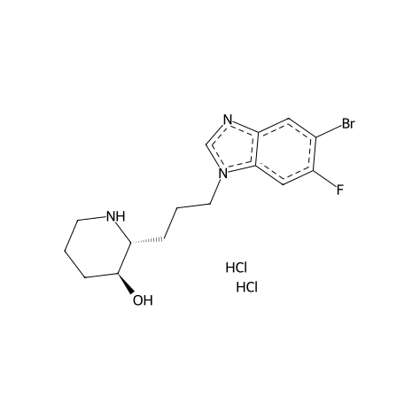 Cl.Cl.O[C@H]1CCCN[C@@H]1CCCn1cnc2cc(Br)c(F)cc21